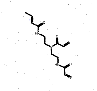 C=CC(=O)NCCN(CCNC(=O)/C=C/C)C(=O)C=C